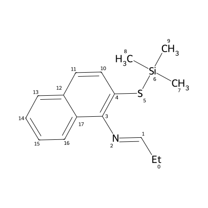 CC/C=N/c1c(S[Si](C)(C)C)ccc2ccccc12